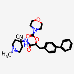 CN1CCC(C#N)(NC(=O)C(Cc2ccc(-c3ccccc3)cc2)OC(=O)N2CCOCC2)CC1